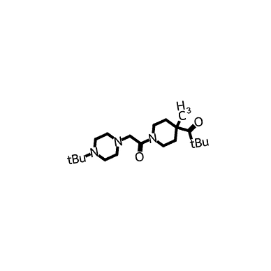 CC(C)(C)C(=O)C1(C)CCN(C(=O)CN2CCN(C(C)(C)C)CC2)CC1